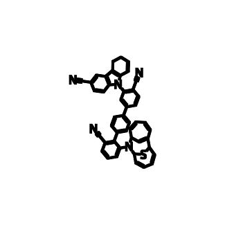 N#Cc1ccc2c(c1)c1c(n2-c2cc(-c3ccc(-c4c(C#N)cccc4N4C5C=CC=CC(=C5)C5C=CC=CC4S5)cc3)ccc2C#N)C=CCC1